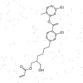 C=CC(=O)OCC(CO)CCCCc1ccc(C(=C)Oc2cc(CC)ccc2C)c(CC)c1